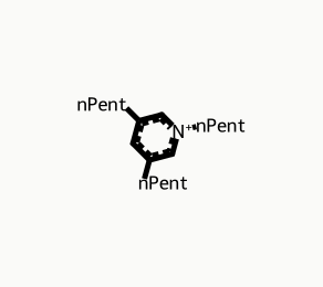 CCCCCc1cc(CCCCC)c[n+](CCCCC)c1